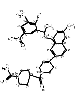 Cc1cc(NC(C)c2cc([N+](=O)[O-])cc(C)c2F)c2cc(C3=CCN(C(=O)C4CCN(C(=O)O)CC4)CC3)ccc2n1